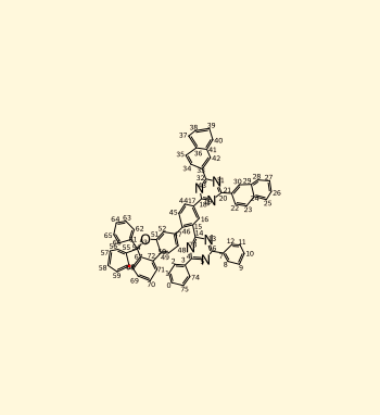 c1ccc(-c2nc(-c3ccccc3)nc(-c3cc(-c4nc(-c5ccc6ccccc6c5)nc(-c5ccc6ccccc6c5)n4)ccc3-c3ccc4c(c3)OC(c3ccccc3)(c3ccccc3)c3ccccc3-4)n2)cc1